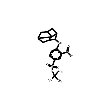 CC(C)(C)NS(=O)(=O)c1ccc(NC2C3CC4CC(C3)CC2C4)c([N+](=O)[O-])c1